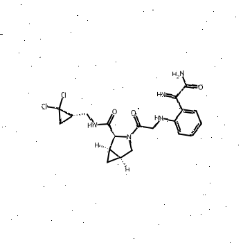 N=C(C(N)=O)c1ccccc1NCC(=O)N1C[C@H]2C[C@H]2[C@H]1C(=O)NC[C@@H]1CC1(Cl)Cl